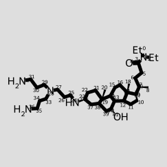 CCN(CC)C(=O)CC[C@@H](C)[C@H]1CCC2C3C(CC[C@@]21C)[C@@]1(C)CC[C@H](NCCCN(CCCN)CCCN)CC1C[C@H]3O